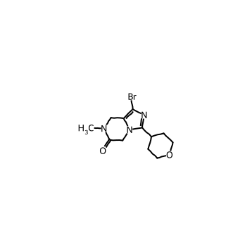 CN1Cc2c(Br)nc(C3CCOCC3)n2CC1=O